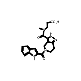 CN(CCC(=O)O)C(=O)c1[nH]nc2c1CN(C(=O)c1cc3ccccc3[nH]1)CC2